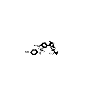 COc1ccc(-c2c(C)nc3sc(C4(C(F)(F)F)CC4)nn23)cc1S(=O)(=O)N[C@H]1CC[C@@H](O)CC1